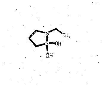 [CH2]CN1CCCS1(O)O